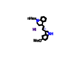 CCCCCCN1CC=C(/C=C/c2c[nH]c3ccc(OC)cc23)c2ccccc21.I